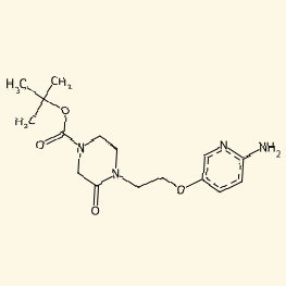 CC(C)(C)OC(=O)N1CCN(CCOc2ccc(N)nc2)C(=O)C1